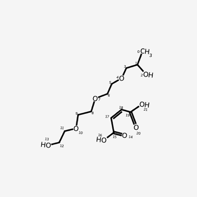 CC(O)COCCOCCOCCO.O=C(O)/C=C\C(=O)O